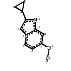 CCOc1ccn2cc(C3CC3)nc2c1